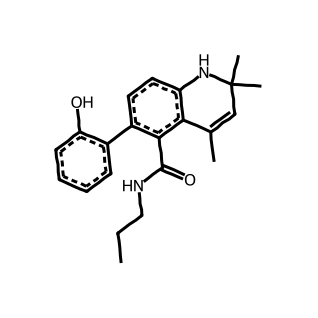 CCCNC(=O)c1c(-c2ccccc2O)ccc2c1C(C)=CC(C)(C)N2